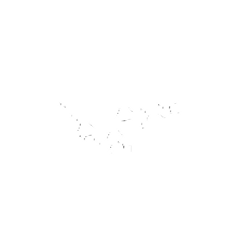 CCc1c(-c2cc(Nc3ccc(N4CCN(C)CC4)cn3)c(=O)n(C)c2)cc(F)cc1N1CCn2c(cc3c2C2CCC3C2)C1=O